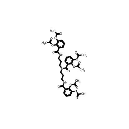 CC(=O)Oc1cccc(C(=O)NCCCN(CCCNC(=O)c2cccc(OC(C)=O)c2OC(C)=O)C(=O)c2cccc(OC(C)=O)c2OC(C)=O)c1OC(C)=O